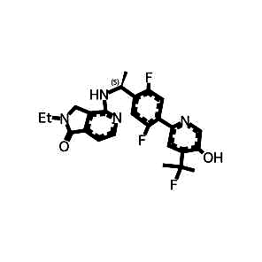 CCN1Cc2c(ccnc2N[C@@H](C)c2cc(F)c(-c3cc(C(C)(C)F)c(O)cn3)cc2F)C1=O